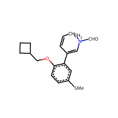 C/C=C\C(=C/N(C)C=O)c1cc(SC)ccc1OCC1CCC1